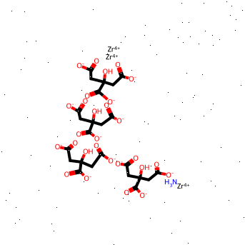 N.O=C([O-])CC(O)(CC(=O)[O-])C(=O)[O-].O=C([O-])CC(O)(CC(=O)[O-])C(=O)[O-].O=C([O-])CC(O)(CC(=O)[O-])C(=O)[O-].O=C([O-])CC(O)(CC(=O)[O-])C(=O)[O-].[Zr+4].[Zr+4].[Zr+4]